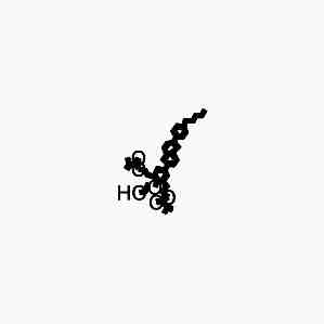 C=C(C)C(=O)OCCc1cc(-c2ccc3cc(-c4ccc(CCCCC)cc4)ccc3c2)cc(CCOC(=O)C(=C)C)c1OCCO